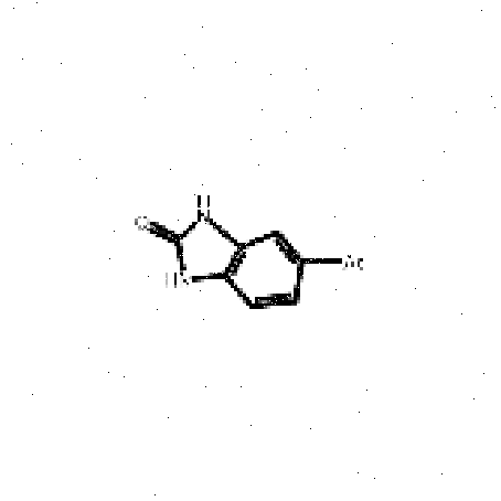 CC(=O)c1ccc2[nH]c(=O)[nH]c2c1